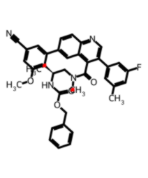 CC[C@@H](CN(C)C(=O)c1c(-c2cc(C)cc(F)c2)cnc2ccc(-c3cc(C#N)cc(OC)c3)cc12)NC(=O)OCc1ccccc1